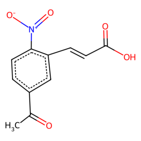 CC(=O)c1ccc([N+](=O)[O-])c(C=CC(=O)O)c1